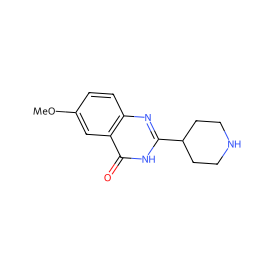 COc1ccc2nc(C3CCNCC3)[nH]c(=O)c2c1